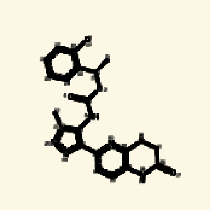 C[C@@H](OC(=O)Nc1c(-c2ccc3c(n2)OCC(=O)N3)nnn1C)c1ccccc1Cl